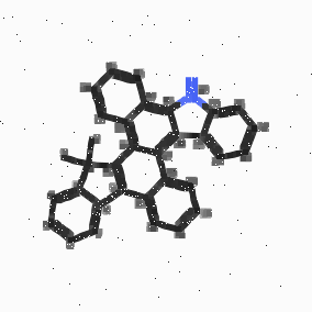 CC1(C)c2ccccc2-c2c1c1c3ccccc3c3[nH]c4ccccc4c3c1c1ccccc21